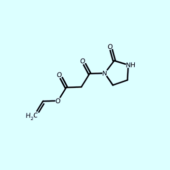 C=COC(=O)CC(=O)N1CCNC1=O